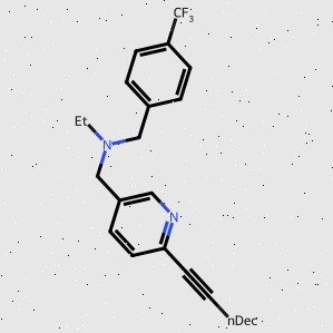 CCCCCCCCCCC#Cc1ccc(CN(CC)Cc2ccc(C(F)(F)F)cc2)cn1